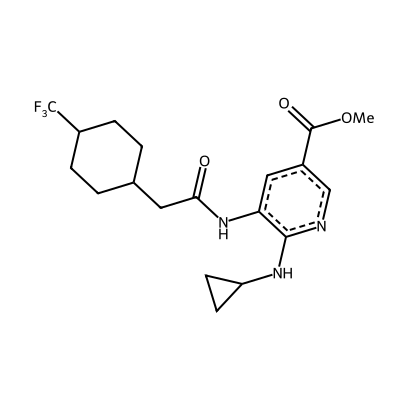 COC(=O)c1cnc(NC2CC2)c(NC(=O)CC2CCC(C(F)(F)F)CC2)c1